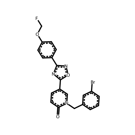 O=c1ccc(-c2nc(-c3ccc(OCF)cc3)no2)cn1Cc1cccc(Br)c1